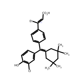 CC/C(=C\C(=O)O)c1ccc(C(=C2CC(C)(C)CC(C)(C)C2)c2ccc(O)c(Cl)c2)cc1